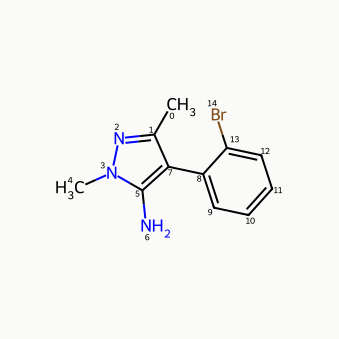 Cc1nn(C)c(N)c1-c1ccccc1Br